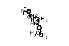 C[C](C)CC1CCC(C(=N)C[C@@H](C)NC(=O)CNC(=O)c2cccc(C(F)(F)F)c2)CC1